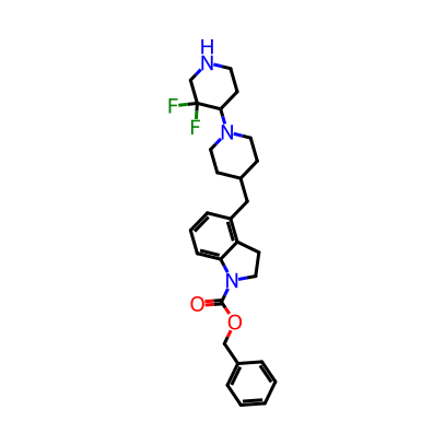 O=C(OCc1ccccc1)N1CCc2c(CC3CCN(C4CCNCC4(F)F)CC3)cccc21